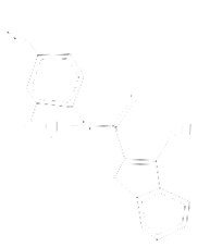 CC1=C(C(=O)Nc2ccc(C#N)cc2C(=O)O)Cc2ccccc21